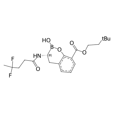 CC(C)(C)CCOC(=O)c1cccc2c1OB(O)[C@@H](NC(=O)CCC(C)(F)F)C2